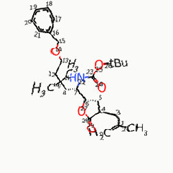 C=C(C)C[C@@H]1C[C@@H]([C@H](CC(C)(C)CCOCc2ccccc2)NC(=O)OC(C)(C)C)OC1=O